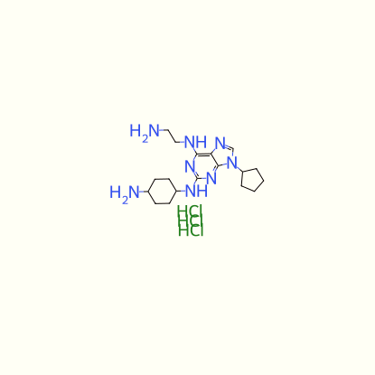 Cl.Cl.Cl.NCCNc1nc(NC2CCC(N)CC2)nc2c1ncn2C1CCCC1